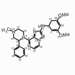 COC1=CC(Nc2nc3c(N4CCN(C)CC4c4ccccc4)nccn3n2)CC(OC)=C1